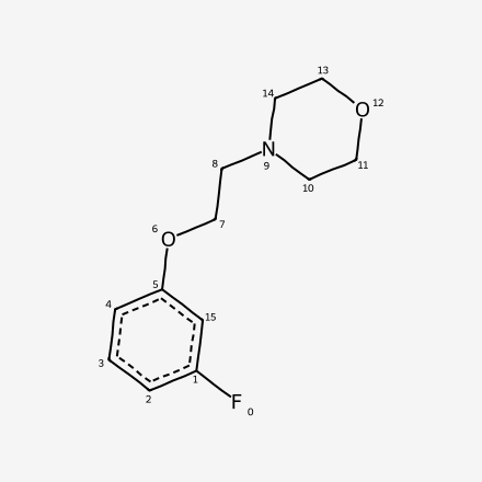 Fc1cccc(OCCN2CCOCC2)c1